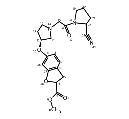 COC(=O)C1Cc2ccc(O[C@H]3CCN(CC(=O)N4CCCC4C#N)C3)cc2O1